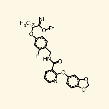 CCOC(=N)[C@@H](C)Oc1ccc(CNC(=O)c2cccnc2Oc2ccc3c(c2)OCO3)c(F)c1